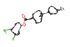 CCc1ccc(-c2ccc(C(=O)Oc3ccc(F)c(F)c3)cc2)cc1